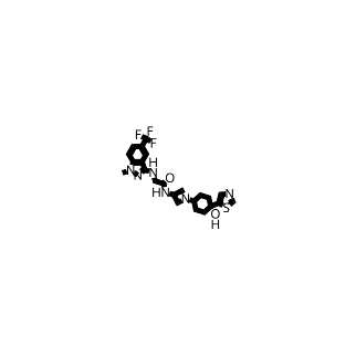 Cn1nc(NCC(=O)NC2CN(C3CCC(O)(c4cncs4)CC3)C2)c2cc(C(F)(F)F)ccc21